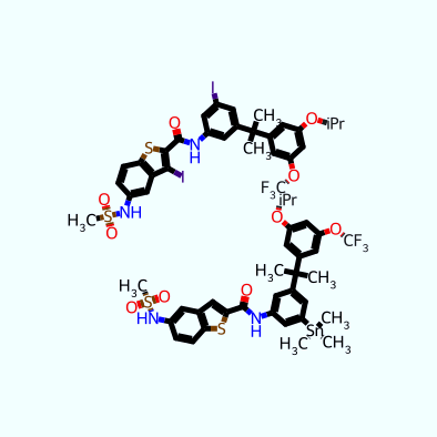 CC(C)Oc1cc(OC(F)(F)F)cc(C(C)(C)c2cc(I)cc(NC(=O)c3sc4ccc(NS(C)(=O)=O)cc4c3I)c2)c1.CC(C)Oc1cc(OC(F)(F)F)cc(C(C)(C)c2cc(NC(=O)c3cc4cc(NS(C)(=O)=O)ccc4s3)c[c]([Sn]([CH3])([CH3])[CH3])c2)c1